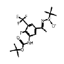 CC(=N[S+]([O-])C(C)(C)C)c1cc(NC(=O)OC(C)(C)C)c(F)c(C(F)(F)F)c1